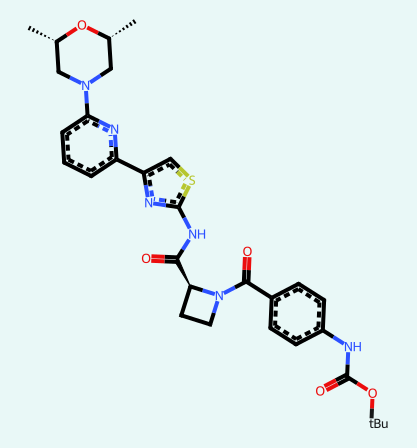 C[C@@H]1CN(c2cccc(-c3csc(NC(=O)[C@@H]4CCN4C(=O)c4ccc(NC(=O)OC(C)(C)C)cc4)n3)n2)C[C@H](C)O1